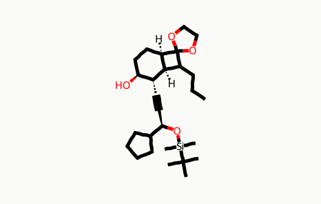 CCCC1[C@H]2[C@H](C#C[C@@H](O[Si](C)(C)C(C)(C)C)C3CCCC3)[C@@H](O)CC[C@H]2C12OCCO2